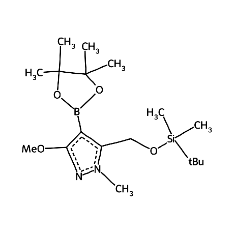 COc1nn(C)c(CO[Si](C)(C)C(C)(C)C)c1B1OC(C)(C)C(C)(C)O1